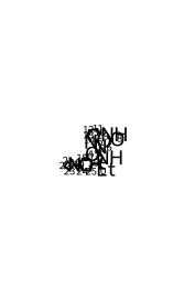 CCC(NC(=O)N1CC(=O)Nc2cccnc21)c1ccc(N2CCC2)cc1